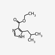 CCOC(=O)c1nc[nH]c1CC(C)C